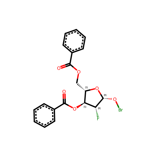 O=C(OC[C@@H]1O[C@H](OBr)[C@H](F)[C@H]1OC(=O)c1ccccc1)c1ccccc1